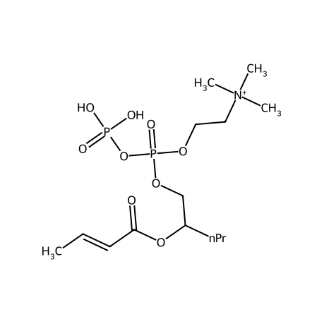 CC=CC(=O)OC(CCC)COP(=O)(OCC[N+](C)(C)C)OP(=O)(O)O